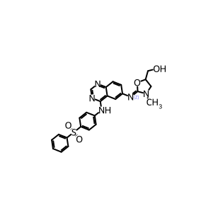 CN1CC(CO)O/C1=N\c1ccc2ncnc(Nc3ccc(S(=O)(=O)c4ccccc4)cc3)c2c1